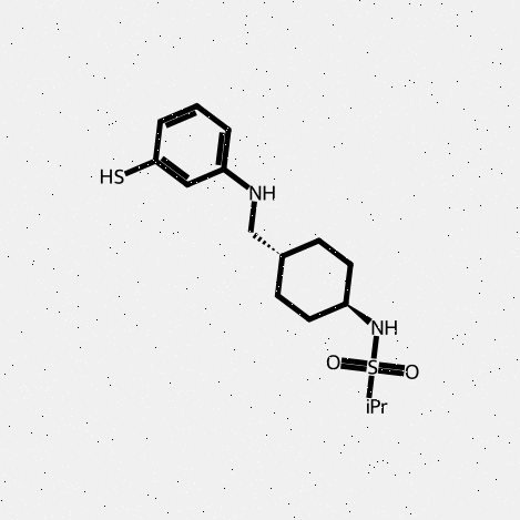 CC(C)S(=O)(=O)N[C@H]1CC[C@H](CNc2cccc(S)c2)CC1